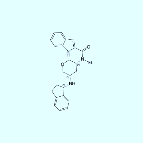 CCN(C(=O)c1cc2ccccc2[nH]1)[C@H]1COC[C@@H](N[C@H]2CCc3ccccc32)C1